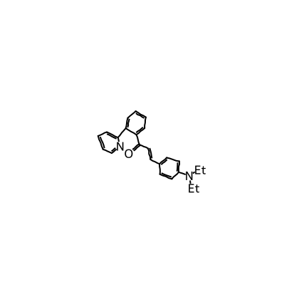 CCN(CC)c1ccc(/C=C/C(=O)c2ccccc2-c2ccccn2)cc1